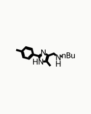 CCCCNCc1nc(-c2ccc(C)cc2)[nH]c1C